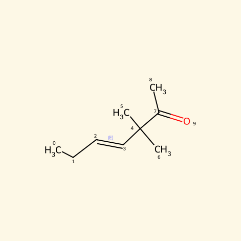 CC/C=C/C(C)(C)C(C)=O